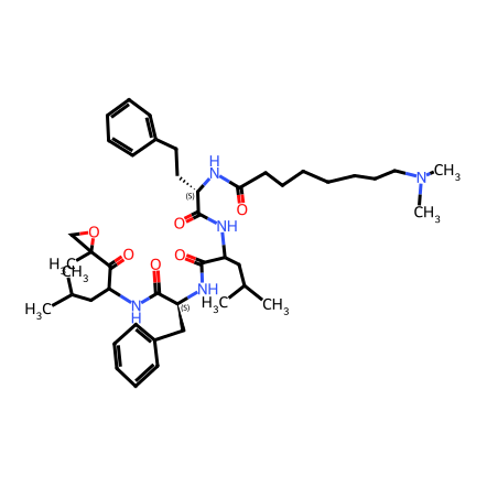 CC(C)CC(NC(=O)[C@H](CCc1ccccc1)NC(=O)CCCCCCCN(C)C)C(=O)N[C@@H](Cc1ccccc1)C(=O)NC(CC(C)C)C(=O)C1(C)CO1